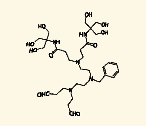 O=CCCN(CCC=O)CCN(CCN(CCC(=O)NC(CO)(CO)CO)CCC(=O)NC(CO)(CO)CO)Cc1ccccc1